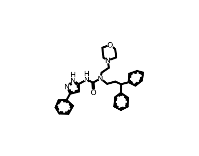 O=C(Nc1cc(-c2ccccc2)n[nH]1)N(CCC(c1ccccc1)c1ccccc1)CCN1CCOCC1